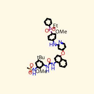 CCOP(=O)(c1ccccc1)c1ccc(Nc2cc(Oc3ccc(NC(=O)Nc4cc(C(C)(C)C)cc(NS(C)(=O)=O)c4OC)c4ccccc34)ccn2)cc1OC